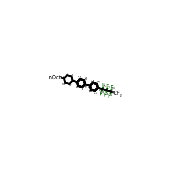 CCCCCCCCC1CCC(c2ccc(-c3ccc(C(F)(F)C(F)(F)C(F)(F)C(F)(F)F)cc3)cc2)CC1